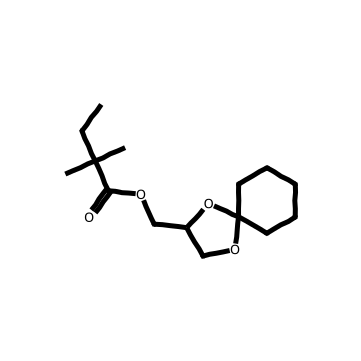 CCC(C)(C)C(=O)OCC1COC2(CCCCC2)O1